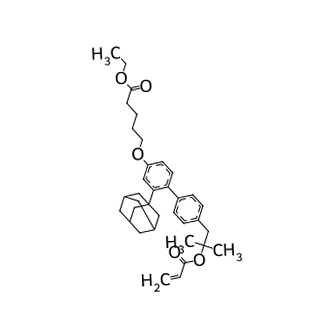 C=CC(=O)OC(C)(C)Cc1ccc(-c2ccc(OCCCCC(=O)OCC)cc2C23CC4CC(CC(C4)C2)C3)cc1